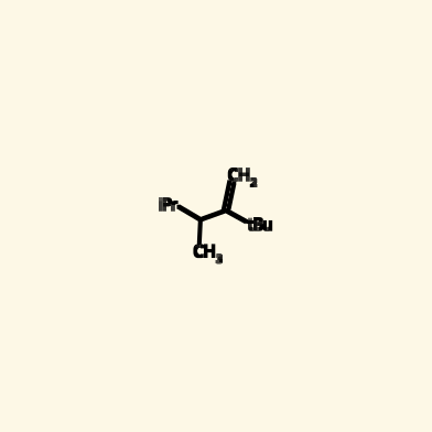 C=C(C(C)C(C)C)C(C)(C)C